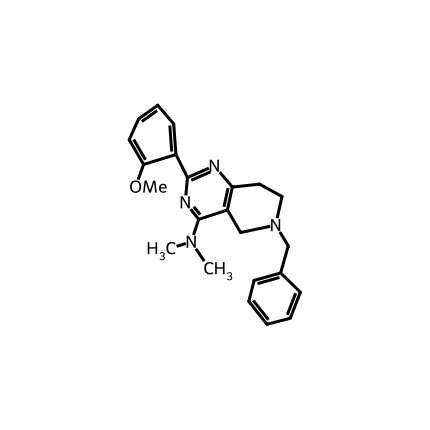 COc1ccccc1-c1nc2c(c(N(C)C)n1)CN(Cc1ccccc1)CC2